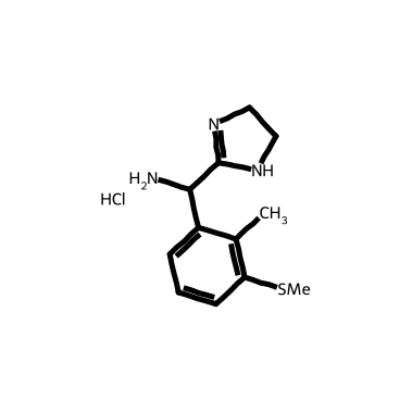 CSc1cccc(C(N)C2=NCCN2)c1C.Cl